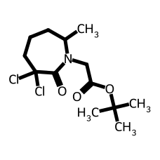 CC1CCCC(Cl)(Cl)C(=O)N1CC(=O)OC(C)(C)C